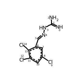 N=C(N)N/N=C/c1cc(Cl)cc(Cl)c1Cl